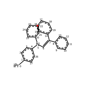 CC(C)c1ccc(N(C=C(c2ccccc2)c2ccccc2)c2ccccc2)cc1